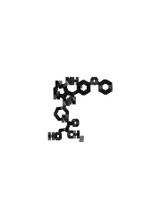 C=C(CO)C(=O)N1CCCC(n2nc(-c3ccc(Oc4ccccc4)cc3)c3c(N)ncnc32)C1